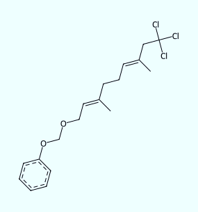 C/C(=C\COCOc1ccccc1)CC/C=C(\C)CC(Cl)(Cl)Cl